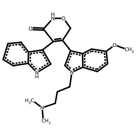 COc1ccc2c(c1)c(C1=C(c3c[nH]c4ccccc34)C(=O)NOC1)cn2CCCN(C)C